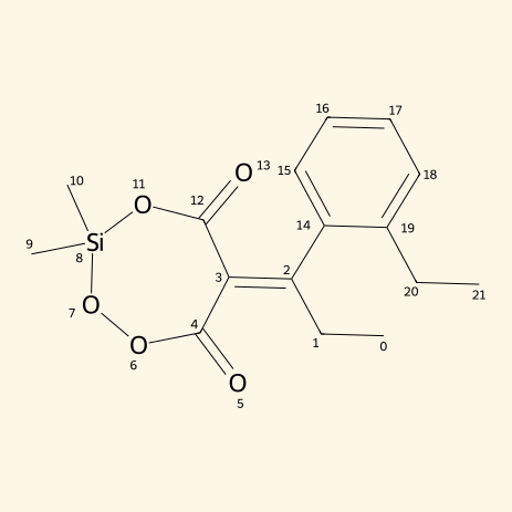 CCC(=C1C(=O)OO[Si](C)(C)OC1=O)c1ccccc1CC